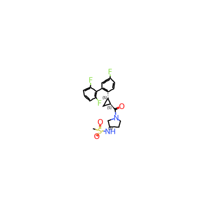 CS(=O)(=O)N[C@H]1CCN(C(=O)[C@H]2C[C@@H]2c2ccc(F)cc2-c2c(F)cccc2F)C1